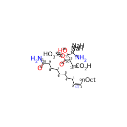 CCCCCCCC/C=C\CCCCCCCC(N)=O.NCCO.O=C(O)CCC(=O)OS(=O)(=O)O.[NaH].[NaH]